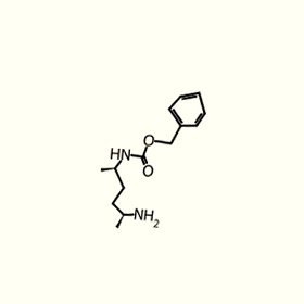 C[C@H](N)CC[C@@H](C)NC(=O)OCc1ccccc1